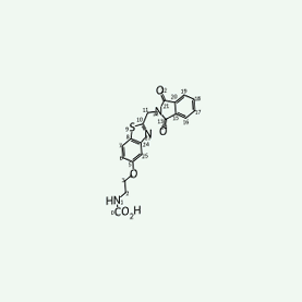 O=C(O)NCCOc1ccc2sc(CN3C(=O)c4ccccc4C3=O)nc2c1